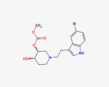 COC(=O)O[C@H]1CN(CCc2c[nH]c3ccc(Br)cc23)CC[C@H]1O